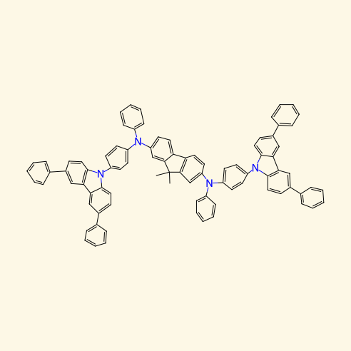 CC1(C)c2cc(N(c3ccccc3)c3ccc(-n4c5ccc(-c6ccccc6)cc5c5cc(-c6ccccc6)ccc54)cc3)ccc2-c2ccc(N(c3ccccc3)c3ccc(-n4c5ccc(-c6ccccc6)cc5c5cc(-c6ccccc6)ccc54)cc3)cc21